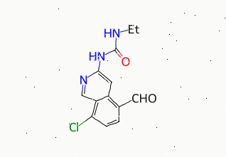 CCNC(=O)Nc1cc2c(C=O)ccc(Cl)c2cn1